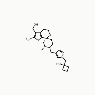 C[C@H]1C[C@@]2(CCN1Cc1cnn(CC3(O)CCC3)c1)OCCc1c2sc(C(F)(F)F)c1CO